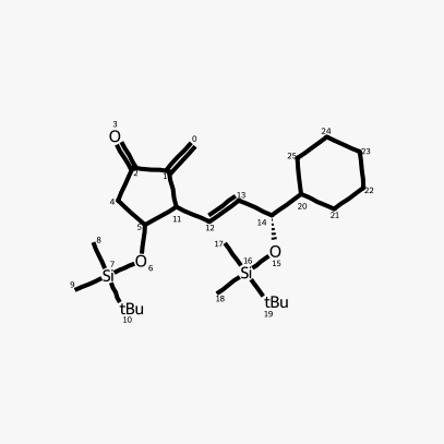 C=C1C(=O)CC(O[Si](C)(C)C(C)(C)C)C1/C=C/[C@@H](O[Si](C)(C)C(C)(C)C)C1CCCCC1